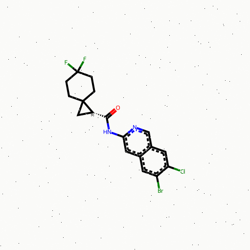 O=C(Nc1cc2cc(Br)c(Cl)cc2cn1)[C@@H]1CC12CCC(F)(F)CC2